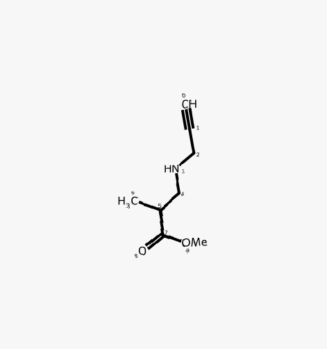 C#CCNCC(C)C(=O)OC